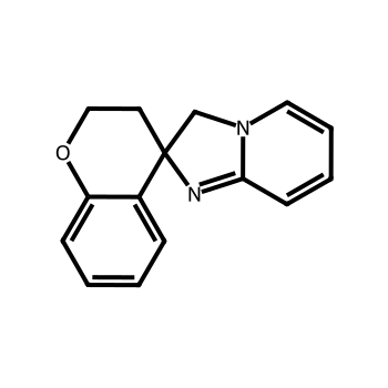 C1=CC2=NC3(CCOc4ccccc43)CN2C=C1